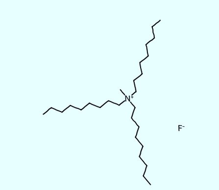 CCCCCCCCC[N+](C)(CCCCCCCCC)CCCCCCCCC.[F-]